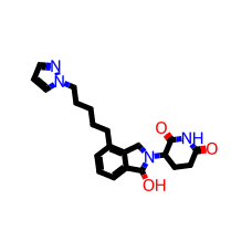 O=C1CCC(N2Cc3c(CCCCCn4cccn4)cccc3C2O)C(=O)N1